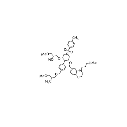 COCCCN1CCOc2ccc(CO[C@H]3CN(S(=O)(=O)c4ccc(C)cc4)C[C@@H](OC[C@@H](O)COC)[C@@H]3c3ccc(COC[C@@H](C)COC)cc3)cc21